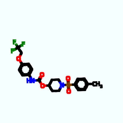 Cc1ccc(S(=O)(=O)N2CCC(OC(=O)Nc3ccc(OCC(F)(F)F)cc3)CC2)cc1